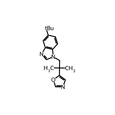 CC(C)(C)c1ccc2c(c1)ncn2CC(C)(C)c1cnco1